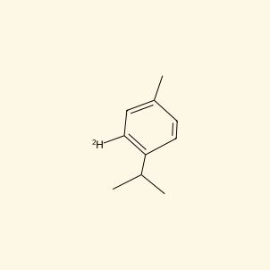 [2H]c1cc(C)ccc1C(C)C